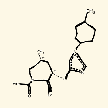 CC1CCC(n2cnc(C[C@H]3C[C@@H](C)CN(C(=O)O)C3=O)c2)CC1